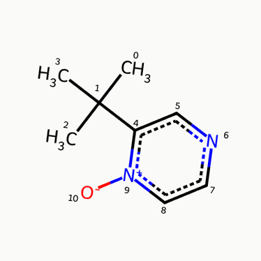 CC(C)(C)c1cncc[n+]1[O-]